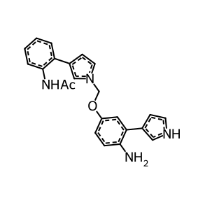 CC(=O)Nc1ccccc1-c1ccn(COc2ccc(N)c(-c3cc[nH]c3)c2)c1